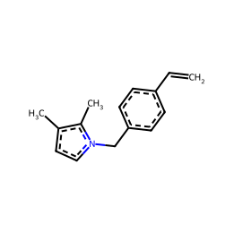 C=Cc1ccc(Cn2ccc(C)c2C)cc1